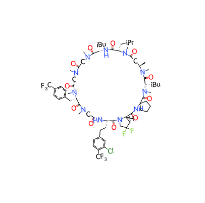 CC[C@H](C)[C@@H]1NC(=O)[C@H](CC(C)C)N(C)C(=O)C[C@@H](C)N(C)C(=O)[C@H]([C@@H](C)CC)N(C)C(=O)C2(CCCC2)NC(=O)[C@@H]2CC(F)(F)CN2C(=O)[C@H](CCc2ccc(C(F)(F)F)c(Cl)c2)NC(=O)CN(C)C(=O)[C@H](Cc2ccc(C(F)(F)F)cc2)N(C)C(=O)CN(C)C(=O)CN(C)C1=O